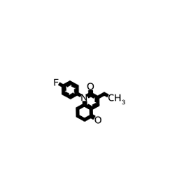 CCc1cc2c(n(-c3ccc(F)cc3)c1=O)CCCC2=O